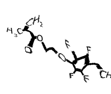 C=Cc1c(F)c(F)c(OCCOC(=O)C(=C)C)c(F)c1F